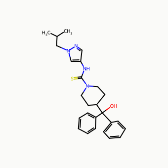 CC(C)Cn1cc(NC(=S)N2CCC(C(O)(c3ccccc3)c3ccccc3)CC2)cn1